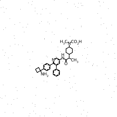 CC(C(=O)Nc1cnc(-c2ccc(C3(N)CCC3)cc2)c(-c2ccccc2)c1)C1CCC(N(C)C(=O)O)CC1